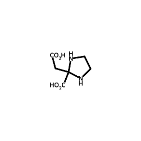 O=C(O)CC1(C(=O)O)NCCN1